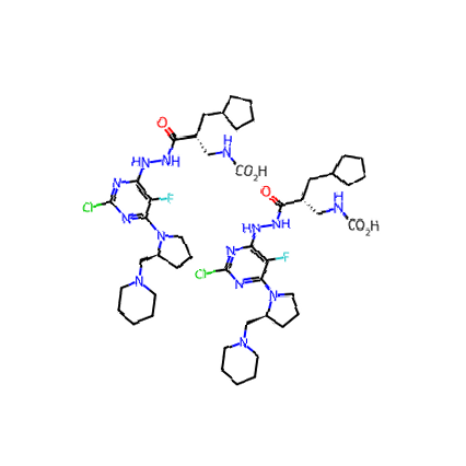 O=C(O)NC[C@@H](CC1CCCC1)C(=O)NNc1nc(Cl)nc(N2CCC[C@H]2CN2CCCCC2)c1F.O=C(O)NC[C@@H](CC1CCCC1)C(=O)NNc1nc(Cl)nc(N2CCC[C@H]2CN2CCCCC2)c1F